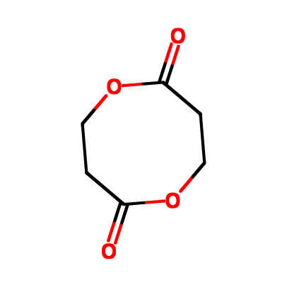 O=C1CCOC(=O)CCO1